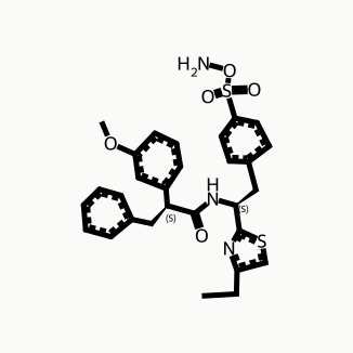 CCc1csc([C@H](Cc2ccc(S(=O)(=O)ON)cc2)NC(=O)[C@@H](Cc2ccccc2)c2cccc(OC)c2)n1